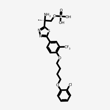 C[C@](N)(COP(=O)(O)O)c1nnc(-c2ccc(OCCCCOc3ccccc3Cl)c(C(F)(F)F)c2)s1